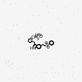 Br.CN1CCC[C@@H]1Cc1c[nH]c2ccc(CCS(=O)(=O)c3ccccc3)cc12.O